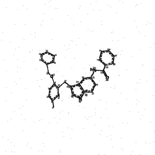 Cc1ccc(OCc2ccccc2)c(Cn2cnc3ccc(NC(=O)c4ccccc4)cc32)n1